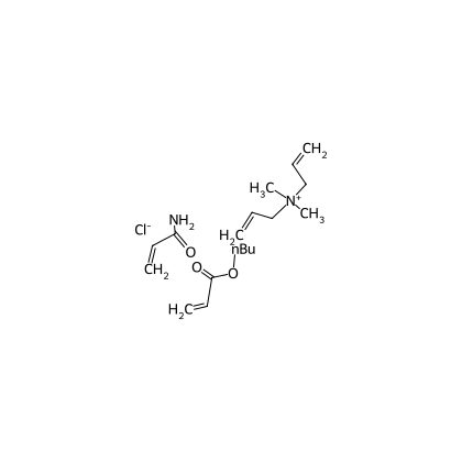 C=CC(=O)OCCCC.C=CC(N)=O.C=CC[N+](C)(C)CC=C.[Cl-]